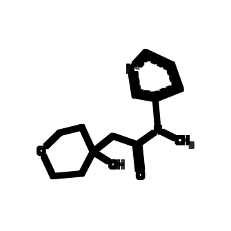 CN(C(=O)CC1(O)CCOCC1)c1cccnc1